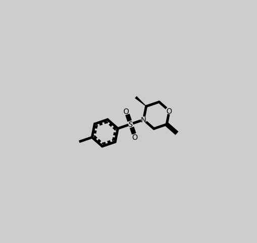 C=C1CN(S(=O)(=O)c2ccc(C)cc2)[C@@H](C)CO1